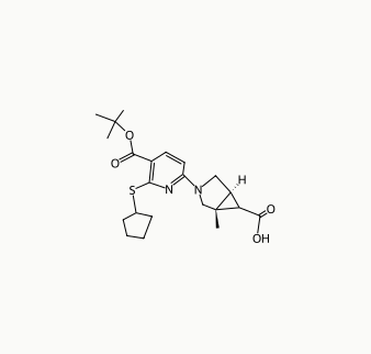 CC(C)(C)OC(=O)c1ccc(N2C[C@H]3C(C(=O)O)[C@]3(C)C2)nc1SC1CCCC1